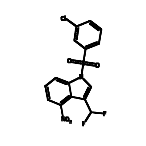 O=[N+]([O-])c1cccc2c1c(C(F)F)cn2S(=O)(=O)c1cccc(Cl)c1